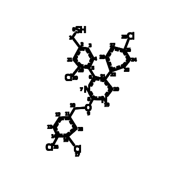 SCc1ccc(-c2nc(OCc3ccc(Cl)c(Cl)c3)ncc2-c2ccc(Cl)cc2)c(Cl)c1